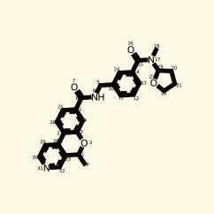 CC1Oc2cc(C(=O)NCc3cccc(C(=O)N(C)C4CCCO4)c3)ccc2-c2ccncc21